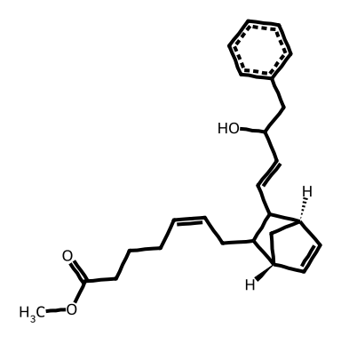 COC(=O)CCC/C=C\CC1C(C=CC(O)Cc2ccccc2)[C@H]2C=C[C@H]1C2